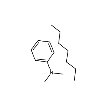 CCCCCCC.CN(C)c1ccccc1